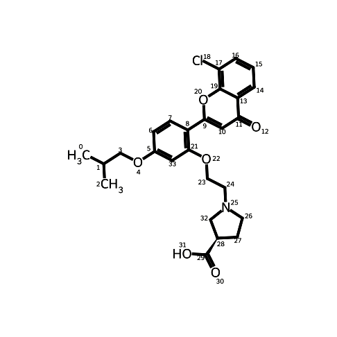 CC(C)COc1ccc(-c2cc(=O)c3cccc(Cl)c3o2)c(OCCN2CC[C@@H](C(=O)O)C2)c1